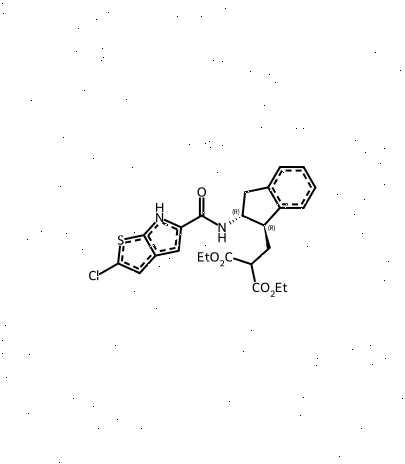 CCOC(=O)C(C[C@@H]1c2ccccc2C[C@H]1NC(=O)c1cc2cc(Cl)sc2[nH]1)C(=O)OCC